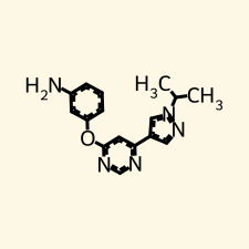 CC(C)n1cc(-c2cc(Oc3cccc(N)c3)ncn2)cn1